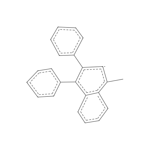 Cc1[c]c(-c2ccccc2)c(-c2ccccc2)c2ccccc12